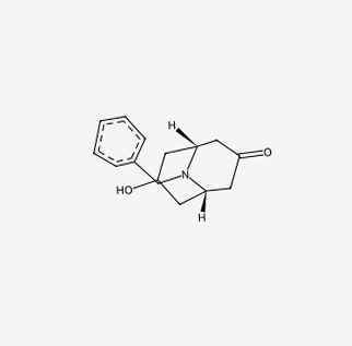 O=C1C[C@@H]2CC(O)C[C@H](C1)N2Cc1ccccc1